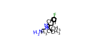 Cc1nn(CCN)c(C(C)(C)C)c1Cc1ccc(F)cc1